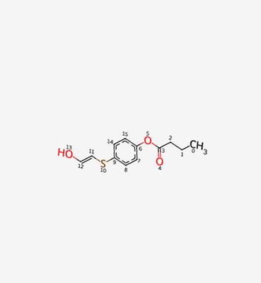 CCCC(=O)Oc1ccc(SC=CO)cc1